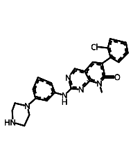 Cn1c(=O)c(-c2ccccc2Cl)cc2cnc(Nc3cccc(N4CCNCC4)c3)nc21